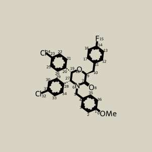 COc1ccc(CN2C(=O)[C@H](Cc3ccc(F)cc3)O[C@@H](c3ccc(Cl)cc3)[C@H]2c2ccc(Cl)cc2)cc1